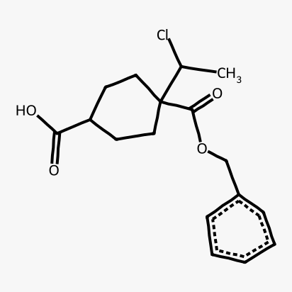 CC(Cl)C1(C(=O)OCc2ccccc2)CCC(C(=O)O)CC1